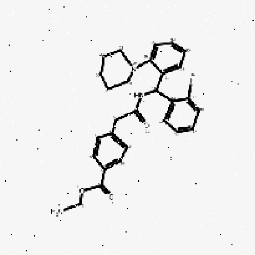 CCOC(=O)c1ccc(CC(=O)NC(c2ccccc2F)c2ccccc2N2CCCCC2)cc1